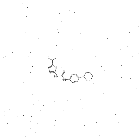 CC(C)c1cnc(NC(=O)Nc2ccc(C3CCCCC3)cc2)s1